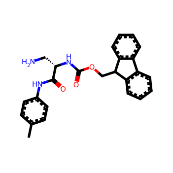 Cc1ccc(NC(=O)[C@H](CN)NC(=O)OCC2c3ccccc3-c3ccccc32)cc1